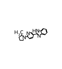 CC1CCCN1c1ccc(-c2nc3ccccc3[nH]2)cn1